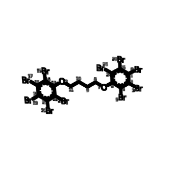 Brc1c(Br)c(Br)c(OCCCCOc2c(Br)c(Br)c(Br)c(Br)c2Br)c(Br)c1Br